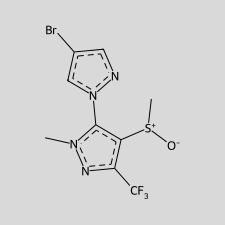 Cn1nc(C(F)(F)F)c([S+](C)[O-])c1-n1cc(Br)cn1